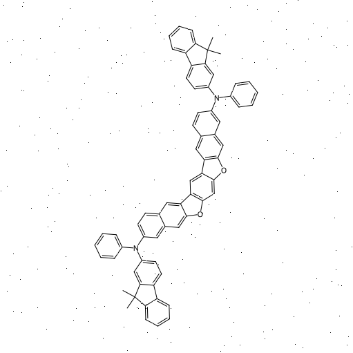 CC1(C)c2ccccc2-c2ccc(N(c3ccccc3)c3ccc4cc5c(cc4c3)oc3cc4oc6cc7cc(N(c8ccccc8)c8ccc9c(c8)C(C)(C)c8ccccc8-9)ccc7cc6c4cc35)cc21